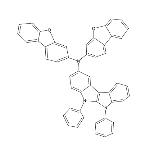 c1ccc(-n2c3ccccc3c3c4cc(N(c5ccc6c(c5)oc5ccccc56)c5ccc6c(c5)oc5ccccc56)ccc4n(-c4ccccc4)c32)cc1